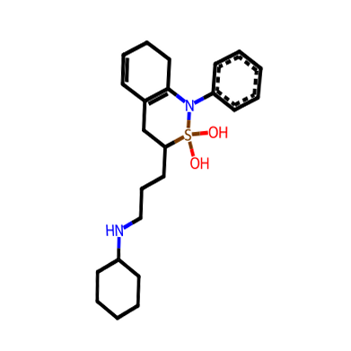 OS1(O)C(CCCNC2CCCCC2)CC2=C(CCC=C2)N1c1ccccc1